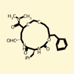 CC(C)C[C@@H]1NC(=O)OC(Cc2ccccc2)CCCCCC(C(=O)N(C)C)C[C@@H](C=O)NC1=O